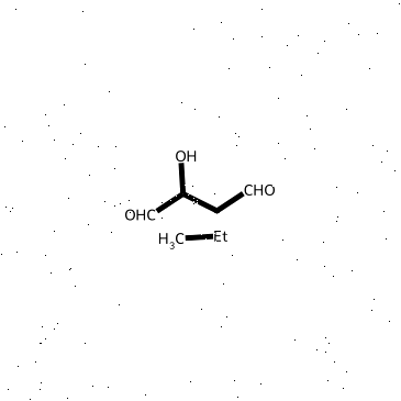 CCC.O=CCC(O)C=O